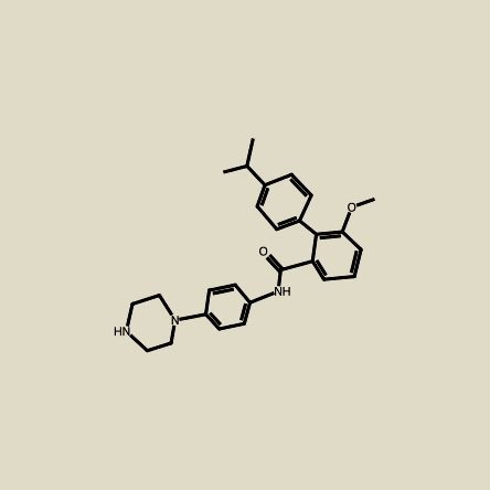 COc1cccc(C(=O)Nc2ccc(N3CCNCC3)cc2)c1-c1ccc(C(C)C)cc1